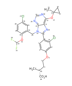 C[C@H](CCOc1ccc(-c2nc3c(OC4(C)CC4)ncnc3n2Cc2cc(Cl)ccc2OC(F)F)c(Cl)c1)C(=O)O